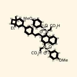 CCC12C=C(c3ccc(/C=C/c4cc(N(CC(=O)O)S(=O)(=O)c5ccc(OC)cc5)c5ccccc5c4N(CC(=O)O)S(=O)(=O)c4ccc(OC)cc4)cc3)C=CC1(C)CC2